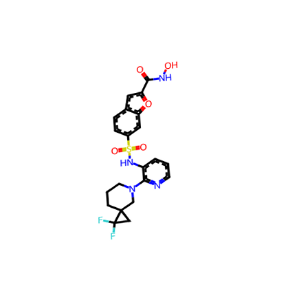 O=C(NO)c1cc2ccc(S(=O)(=O)Nc3cccnc3N3CCCC4(C3)CC4(F)F)cc2o1